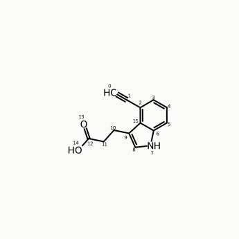 C#Cc1cccc2[nH]cc(CCC(=O)O)c12